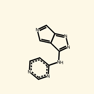 C1=NC=C2C1=NN=C2Nc1ccncn1